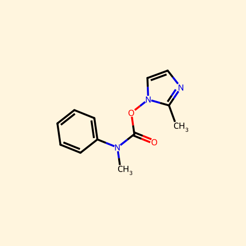 Cc1nccn1OC(=O)N(C)c1ccccc1